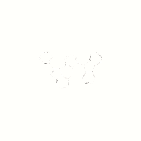 c1ccc(-c2nc3cccc4c3n2-c2cccc(-n3c5ccccc5c5ccccc53)c2O4)cc1